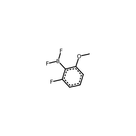 COc1cccc(F)c1B(F)F